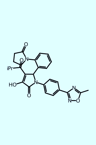 Cc1nc(-c2ccc(N3C(=O)C(O)=C(C(=O)C(C)C)C3c3ccccc3N3CCCC3=O)cc2)no1